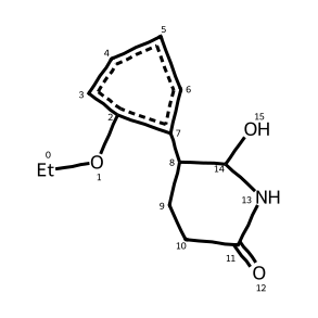 CCOc1ccccc1C1CCC(=O)NC1O